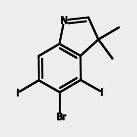 CC1(C)C=Nc2cc(I)c(Br)c(I)c21